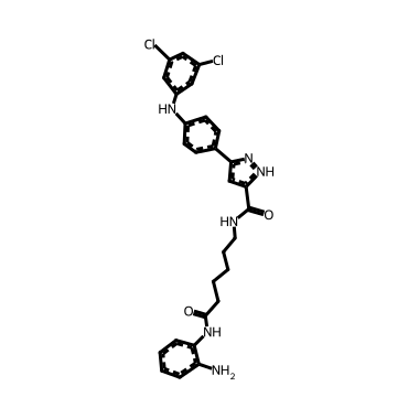 Nc1ccccc1NC(=O)CCCCCNC(=O)c1cc(-c2ccc(Nc3cc(Cl)cc(Cl)c3)cc2)n[nH]1